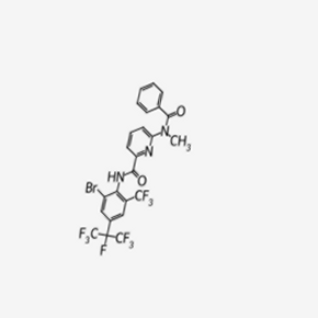 CN(C(=O)c1ccccc1)c1cccc(C(=O)Nc2c(Br)cc(C(F)(C(F)(F)F)C(F)(F)F)cc2C(F)(F)F)n1